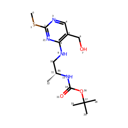 CSc1ncc(CO)c(NC[C@@H](C)NC(=O)OC(C)(C)C)n1